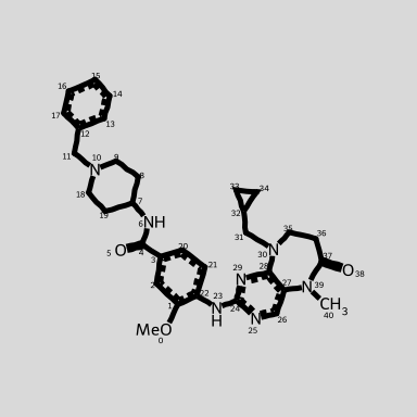 COc1cc(C(=O)NC2CCN(Cc3ccccc3)CC2)ccc1Nc1ncc2c(n1)N(CC1CC1)CCC(=O)N2C